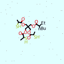 CCCCC(CC)C(=O)OCC(COC(=O)C(C)S)(COC(=O)C(C)S)COC(=O)C(C)S